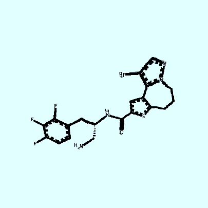 NC[C@H](Cc1ccc(F)c(F)c1F)NC(=O)c1cc2c(s1)CCCn1ncc(Br)c1-2